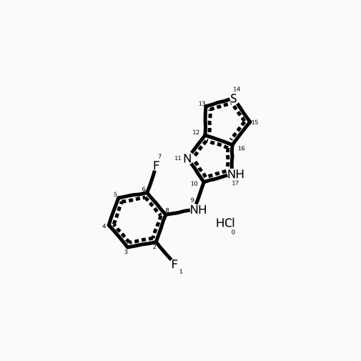 Cl.Fc1cccc(F)c1Nc1nc2cscc2[nH]1